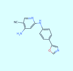 N#Cc1cnc(Nc2ccc(-c3cnco3)cc2)cc1N